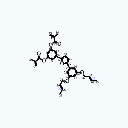 C=C(C)C(=O)Oc1cc(OC(=O)C(=C)C)cc(-c2ccc(-c3cc(OC/C=C/C)cc(OC/C=C/C)c3)o2)c1